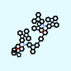 c1ccc(-c2ccc(-c3cc4c(cc3N(c3ccc5c(c3)-c3ccccc3C53CCCC3)c3ccc5c6cc(-c7ccc(-c8ccc(-c9cc%10c(cc9N(c9ccc%11c%12ccccc%12c%12ccccc%12c%11c9)c9cccc%11c9C9(CCCC9)c9ccccc9-%11)C9(c%11ccccc%11-c%11ccccc%119)c9ccccc9-%10)cc8)cc7)ccc6c6ccccc6c5c3)C3(c5ccccc5-c5ccccc53)c3ccccc3-4)cc2)cc1